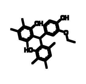 CCOc1cc(C(c2c(C)cc(C)c(C)c2O)c2c(C)cc(C)c(C)c2O)ccc1O